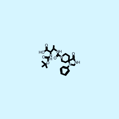 CC(NC(=O)N1CCC2(CC1)C(=O)NCN2c1ccccc1)C(NC(=O)OC(C)(C)C)C(=O)O